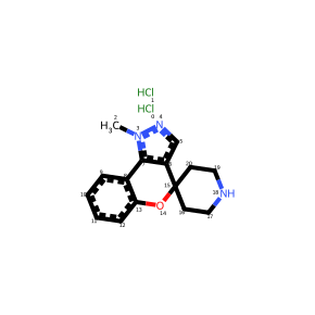 Cl.Cl.Cn1ncc2c1-c1ccccc1OC21CCNCC1